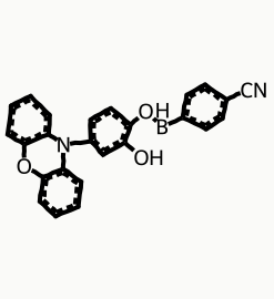 N#Cc1ccc(BOc2ccc(N3c4ccccc4Oc4ccccc43)cc2O)cc1